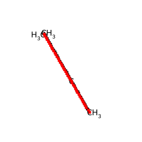 CCCCCCCCCCCCCCCCCCCCCCCCCCCCCCCCCCCCCCCCCCCCCCCCCCCCCCCCCCCCCCCCCCCCCCCCCCCCCCCCCCCC(C)C